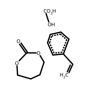 C=Cc1ccccc1.O=C(O)O.O=C1OCCCCO1